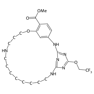 COC(=O)c1ccc2cc1OCCCNCCCCCCCCNc1nc(nc(OCC(F)(F)F)n1)N2